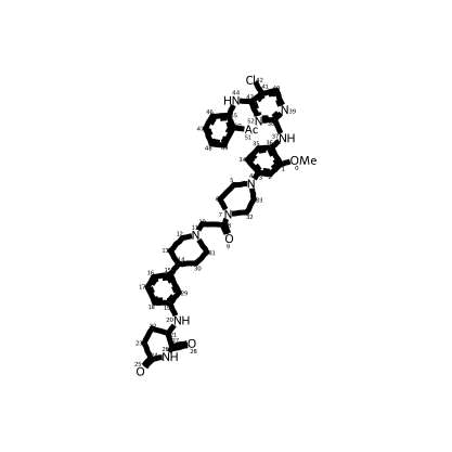 COc1cc(N2CCN(C(=O)CN3CCC(c4cccc(NC5CCC(=O)NC5=O)c4)CC3)CC2)ccc1Nc1ncc(Cl)c(Nc2ccccc2C(C)=O)n1